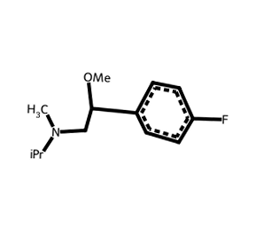 COC(CN(C)C(C)C)c1ccc(F)cc1